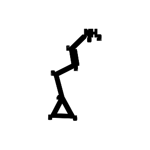 NC=CCC1CC1